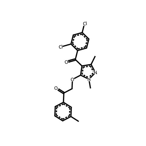 Cc1cccc(C(=O)COc2c(C(=O)c3ccc(Cl)cc3Cl)c(C)nn2C)c1